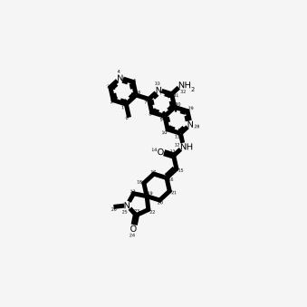 Cc1ccncc1-c1cc2cc(NC(=O)C=C3CCC4(CC3)CC(=O)N(C)C4)ncc2c(N)n1